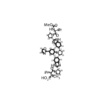 COC(=O)N[C@H](C(=O)N1CCC[C@H]1c1nc2cc([C@H]3CC[C@H](c4ccc5[nH]c([C@@H]6CCCN6C(=O)[C@H](C(C)C)N(C)C(=O)O)nc5c4)N3c3ccc(-c4ncco4)cc3)ccc2[nH]1)C(C)C